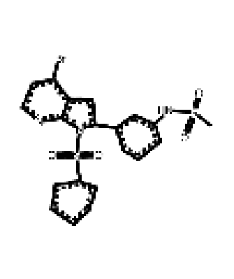 CS(=O)(=O)Nc1cccc(-c2cc3c(Br)ccnc3n2S(=O)(=O)c2ccccc2)c1